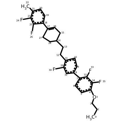 CCCOc1ccc(-c2ccc(CCC3CC=C(c4ccc(C)c(F)c4F)CC3)c(F)c2)c(F)c1F